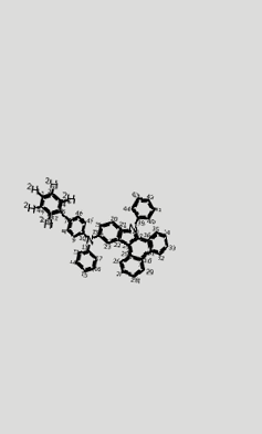 [2H]c1c([2H])c([2H])c(-c2ccc(N(c3ccccc3)c3ccc4c(c3)c3c5ccccc5c5ccccc5c3n4-c3ccccc3)cc2)c([2H])c1[2H]